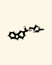 Cc1cnc(CNC(=O)c2ccc3c(c2)-c2ccccc2C3)cn1